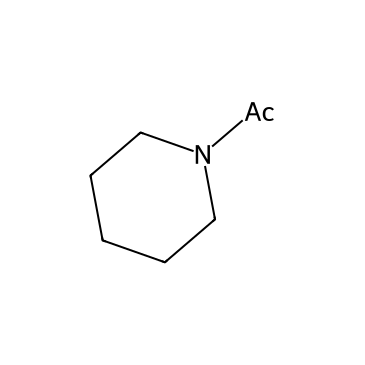 CC(=O)N1CCCCC1